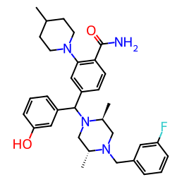 CC1CCN(c2cc(C(c3cccc(O)c3)N3C[C@@H](C)N(Cc4cccc(F)c4)C[C@@H]3C)ccc2C(N)=O)CC1